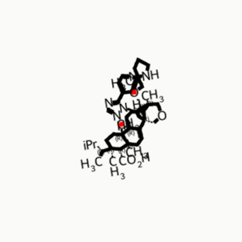 CC(C)[C@@H](C)[C@@]1(C)CC[C@]2(C)[C@H]3CC[C@@H]4[C@@]5(COC[C@]4(C)[C@@H](OC[C@@]4(C)CCCN4)[C@H](n4ncnc4-c4ccncc4)C5)C3=CC[C@@]2(C)[C@@H]1C(=O)O